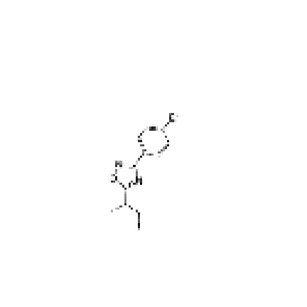 CCC(C)c1nc(-c2ccc(Br)cc2)no1